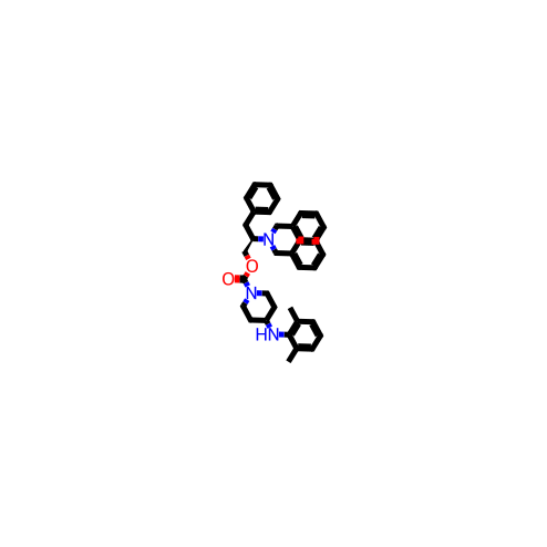 Cc1cccc(C)c1NC1CCN(C(=O)OC[C@@H](Cc2ccccc2)N(Cc2ccccc2)Cc2ccccc2)CC1